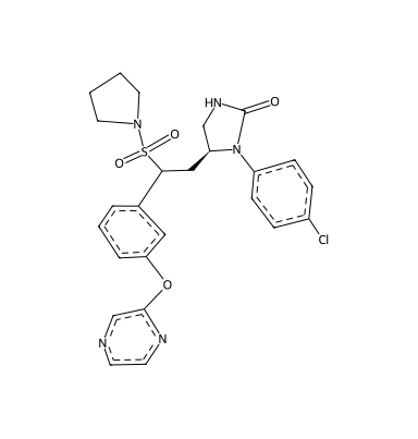 O=C1NC[C@H](CC(c2cccc(Oc3cnccn3)c2)S(=O)(=O)N2CCCC2)N1c1ccc(Cl)cc1